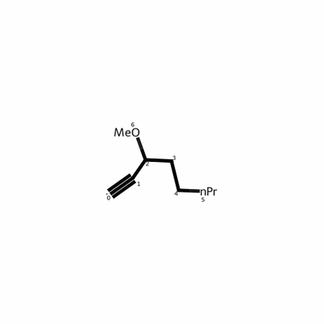 [C]#CC(CCCCC)OC